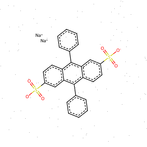 O=S(=O)([O-])c1ccc2c(-c3ccccc3)c3cc(S(=O)(=O)[O-])ccc3c(-c3ccccc3)c2c1.[Na+].[Na+]